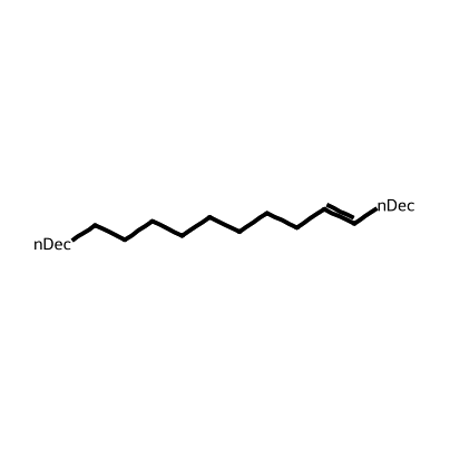 CCCCCCCCCCC=CCCCCCCCCCCCCCCCCCC